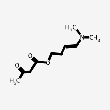 CC(=O)CC(=O)OCCC=CN(C)C